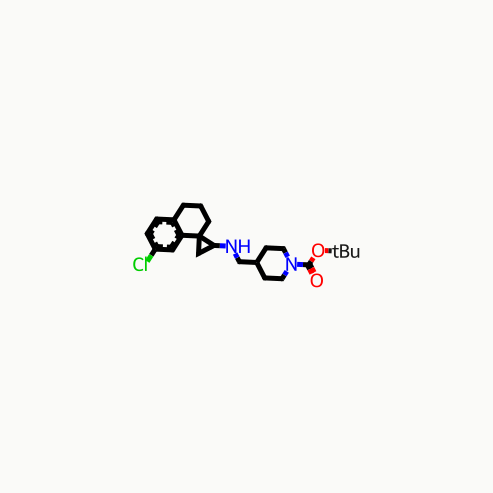 CC(C)(C)OC(=O)N1CCC(CNC2CC23CCCc2ccc(Cl)cc23)CC1